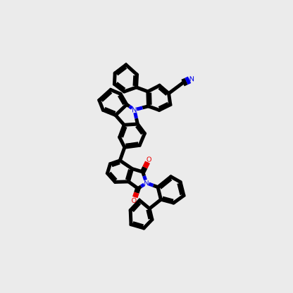 N#Cc1ccc(-n2c3ccccc3c3cc(-c4cccc5c4C(=O)N(c4ccccc4-c4ccccc4)C5=O)ccc32)c(-c2ccccc2)c1